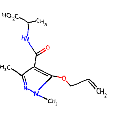 C=CCOc1c(C(=O)NC(C)C(=O)O)c(C)nn1C